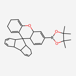 CC1(C)OB(C2=CC3OC4=CCCC=C4C4(C3C=C2)C2C=CC=CC2C2C=CCCC24)OC1(C)C